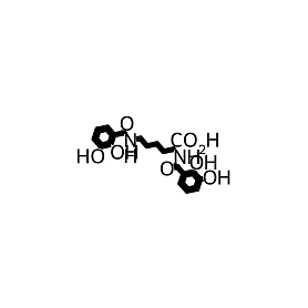 O=C(NCCCC[C@@H](NC(=O)c1cccc(O)c1O)C(=O)O)c1cccc(O)c1O